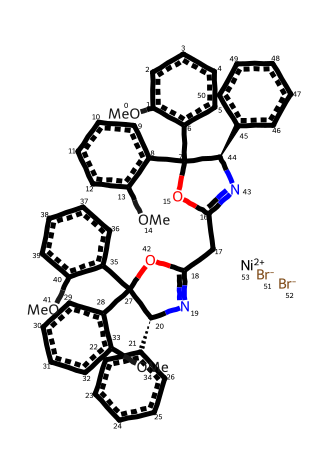 COc1ccccc1C1(c2ccccc2OC)OC(CC2=N[C@H](c3ccccc3)C(c3ccccc3OC)(c3ccccc3OC)O2)=N[C@@H]1c1ccccc1.[Br-].[Br-].[Ni+2]